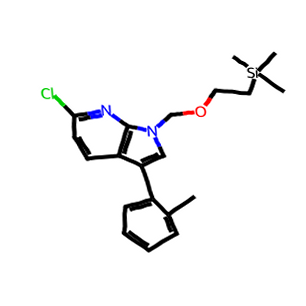 Cc1ccccc1-c1cn(COCC[Si](C)(C)C)c2nc(Cl)ccc12